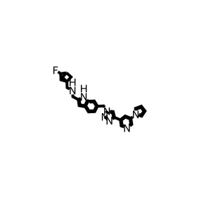 FC1CC2(CNCc3cc4ccc(Cn5cc(-c6cncc(-n7cccc7)c6)nn5)cc4[nH]3)CC1C2